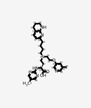 Cc1cnc(N[C@@H](CCN(CCCCc2ccc3c(n2)NCCC3)CCOc2cncc(F)c2)C(=O)O)nc1